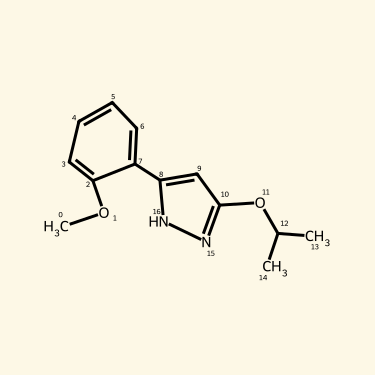 COc1ccccc1-c1cc(OC(C)C)n[nH]1